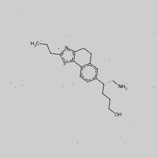 CCCc1nc2c(s1)-c1ccc([C@H](CN)CCCO)cc1CC2